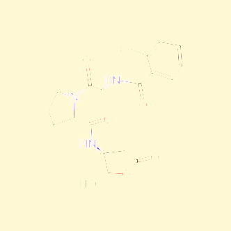 O=C1C[C@H](NC(=O)[C@@H]2CCCN2C(=O)CNC(=O)c2ccccc2Cl)[C@@H](O)O1